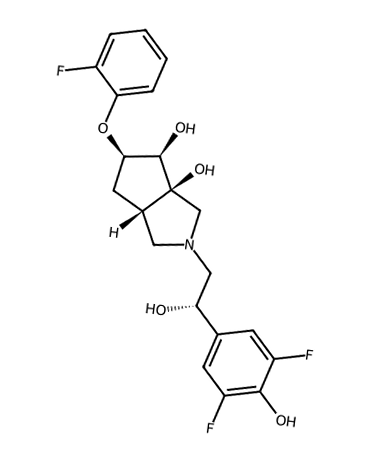 Oc1c(F)cc([C@H](O)CN2C[C@@H]3C[C@@H](Oc4ccccc4F)[C@@H](O)[C@]3(O)C2)cc1F